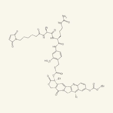 CCc1c2c(nc3ccc(OC(=O)OC(C)(C)C)cc13)-c1cc3c(c(=O)n1C2)COC(=O)[C@@]3(CC)OC(=O)OCc1ccc(NC(=O)[C@H](CCCNC(N)=O)NC(=O)[C@@H](NC(=O)CCCCCN2C(=O)C=CC2=O)C(C)C)cc1S(=O)(=O)O